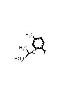 Cc1ccc(F)c(OC(C)C(=O)O)c1